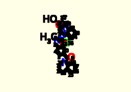 CN(Cc1ccc(C(=O)N2CCCCc3ccccc32)cc1)C(=O)N1CC(=O)N(CC(=O)O)c2cccc(Cl)c21